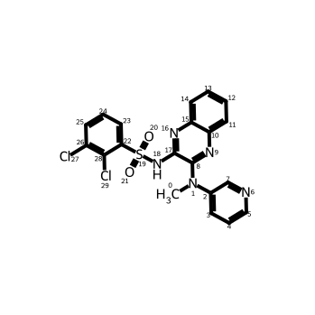 CN(c1cccnc1)c1nc2ccccc2nc1NS(=O)(=O)c1cccc(Cl)c1Cl